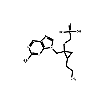 CCCC1CC1(Cn1cnc2cnc(N)nc21)OCP(=O)(O)O